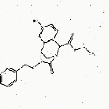 CCOC(=O)C1c2ccc(O)cc2C2CN1C(=O)N2OCc1ccccc1